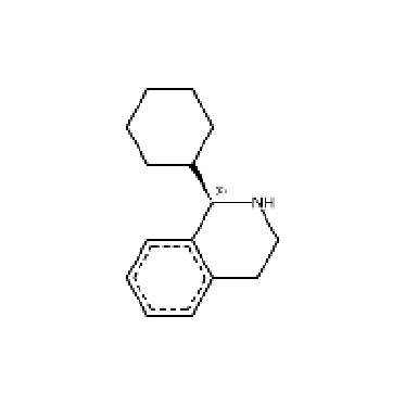 c1ccc2c(c1)CCN[C@@H]2C1CCCCC1